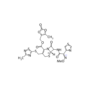 CO/N=C(\C(=O)NC1C(=O)N2C(C(=O)OCc3oc(=O)oc3C)=C(CSc3nc(C)ns3)CS[C@@H]12)c1cscn1